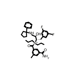 CCC[N+](CCC)(C(=O)c1cc(C)cc(C(N)=O)c1)[C@@H](Cc1cc(F)cc(F)c1)[C@H](O)CNC1(c2ccccc2)CCCC1